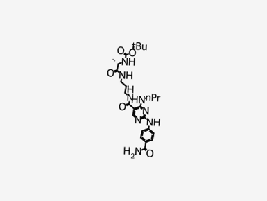 CCCNc1nc(Nc2ccc(C(N)=O)cc2)ncc1C(=O)NCCCNC(=O)[C@H](C)NC(=O)OC(C)(C)C